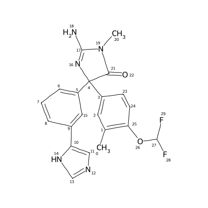 Cc1cc(C2(c3cccc(-c4cnc[nH]4)c3)N=C(N)N(C)C2=O)ccc1OC(F)F